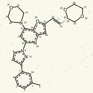 Cc1cccc(-c2ccn(-c3cc(N4CCOCC4)c4oc(/C=C/[C@H]5COCCO5)cc4n3)n2)c1